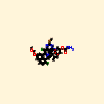 COCOc1cc(-c2nc(C)c3c(N4CCC[C@H](OC(N)=O)C4)nc(SC)nc3c2F)c2c(C#C[Si](C(C)C)(C(C)C)C(C)C)c(F)ccc2c1